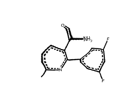 Cc1ccc(C(N)=O)c(-c2cc(F)cc(F)c2)n1